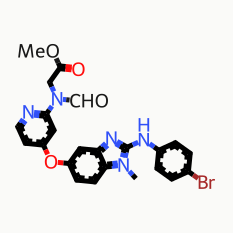 COC(=O)CN(C=O)c1cc(Oc2ccc3c(c2)nc(Nc2ccc(Br)cc2)n3C)ccn1